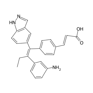 CC/C(=C(/c1ccc(/C=C/C(=O)O)cc1)c1ccc2[nH]ncc2c1)c1cccc(N)c1